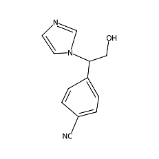 N#Cc1ccc(C(CO)n2ccnc2)cc1